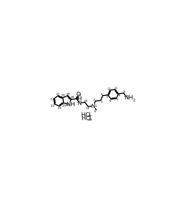 CN(CCCc1ccc(CN)cc1)CCNC(=O)c1cc2ccccc2[nH]1.Cl.Cl